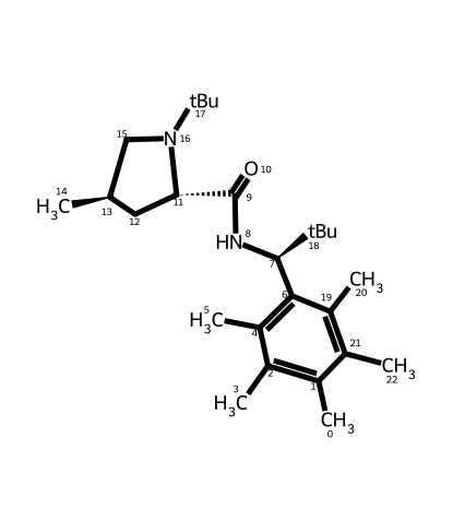 Cc1c(C)c(C)c([C@@H](NC(=O)[C@@H]2C[C@@H](C)CN2C(C)(C)C)C(C)(C)C)c(C)c1C